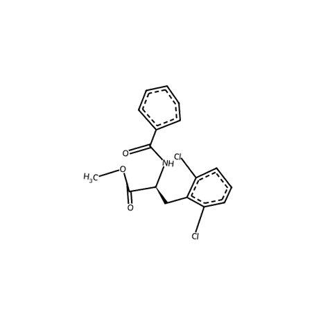 COC(=O)[C@H](Cc1c(Cl)cccc1Cl)NC(=O)c1ccccc1